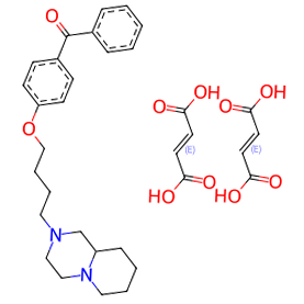 O=C(O)/C=C/C(=O)O.O=C(O)/C=C/C(=O)O.O=C(c1ccccc1)c1ccc(OCCCCN2CCN3CCCCC3C2)cc1